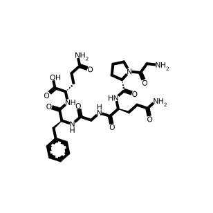 NCC(=O)N1CCC[C@H]1C(=O)N[C@@H](CCC(N)=O)C(=O)NCC(=O)N[C@@H](Cc1ccccc1)C(=O)N[C@@H](CCC(N)=O)C(=O)O